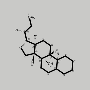 CC(=O)OC[C@@H](C)[C@H]1CC[C@@H]2[C@]1(C)CC[C@H]1[C@@]2(O)CCC2CCCC[C@@]21C